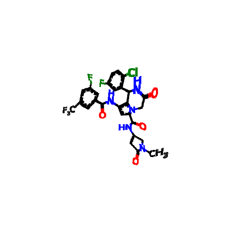 CN1CC(NC(=O)c2cc(NC(=O)c3cc(F)cc(C(F)(F)F)c3)c3n2CC(=O)NC3c2cc(F)ccc2Cl)CC1=O